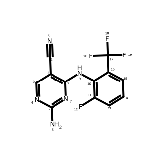 N#Cc1cnc(N)nc1Nc1c(F)cccc1C(F)(F)F